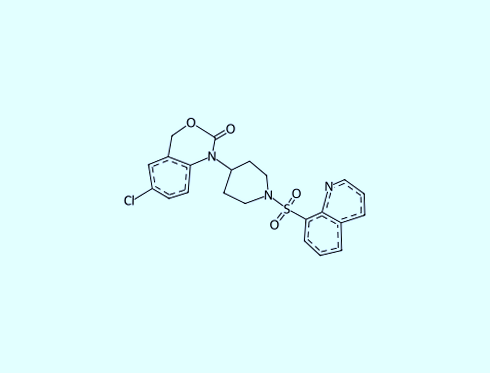 O=C1OCc2cc(Cl)ccc2N1C1CCN(S(=O)(=O)c2cccc3cccnc23)CC1